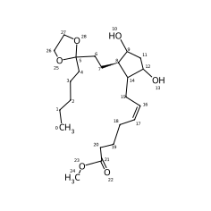 CCCCCC1(CC[C@H]2C(O)CC(O)C2C/C=C\CCCC(=O)OC)OCCO1